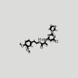 COc1ccc(CCNC(=O)C(C)Nc2cc(Cl)nc(-n3ccnc3)n2)cc1OC